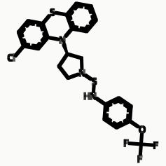 FC(F)(F)Oc1ccc(NSN2CC[C@@H](N3c4ccccc4Sc4ccc(Cl)cc43)C2)cc1